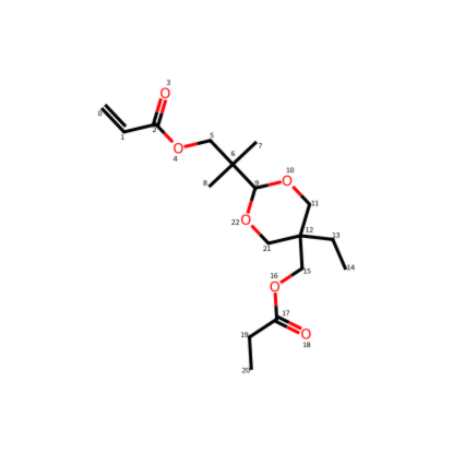 C=CC(=O)OCC(C)(C)C1OCC(CC)(COC(=O)CC)CO1